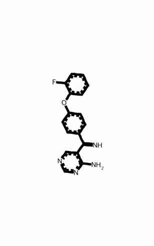 N=C(c1ccc(Oc2ccccc2F)cc1)c1cncnc1N